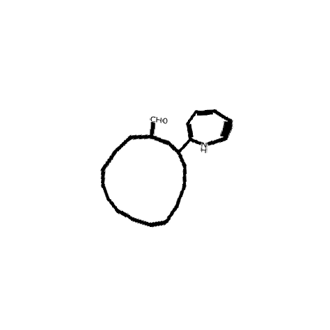 O=CC1CCCCCCCCCCCCC(C2=CC=CC=CN2)C1